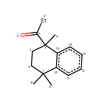 CCC(=O)C1(C)CCC(C)(C)c2ccccc21